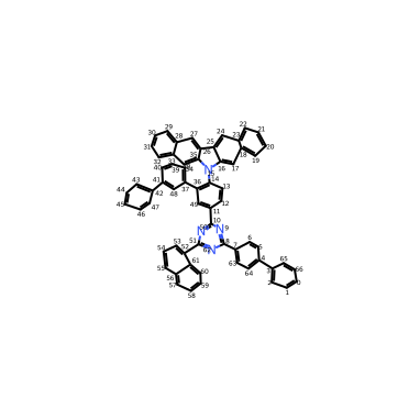 c1ccc(-c2ccc(-c3nc(-c4ccc(-n5c6cc7ccccc7cc6c6cc7ccccc7cc65)c(-c5cccc(-c6ccccc6)c5)c4)nc(-c4cccc5ccccc45)n3)cc2)cc1